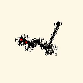 Cc1c[nH]c2c(OC(=S)N(C)CCN(C)C(=O)OCc3ccc(NC(=O)[C@H](CCCNC(N)=O)NC(=O)[C@@H](NC(=O)CCOCCOCCOCCOCCOCCOCCN4C(=O)C=CC4=O)C(C)C)cc3)cc3c(c12)[C@H](CCl)CN3C(=O)C12CC(C(=O)N3C[C@@H](CCl)c4c3cc(OP(=O)(O)O)c3[nH]cc(C)c43)(C1)C2